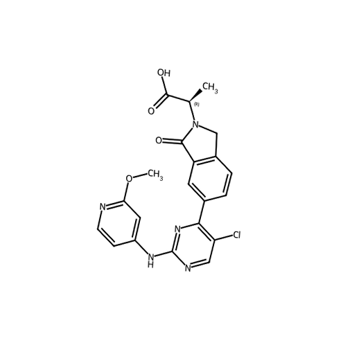 COc1cc(Nc2ncc(Cl)c(-c3ccc4c(c3)C(=O)N([C@H](C)C(=O)O)C4)n2)ccn1